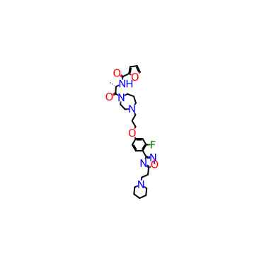 C[C@H](NC(=O)c1ccco1)C(=O)N1CCCN(CCCOc2ccc(-c3noc(CCN4CCCCC4)n3)c(F)c2)CC1